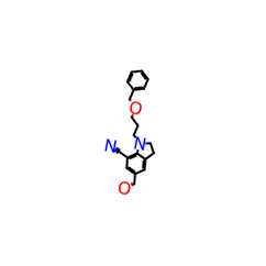 N#Cc1cc(C=O)cc2c1N(CCCOCc1ccccc1)CC2